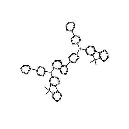 CC1(C)c2ccccc2-c2ccc(N(c3ccc(-c4ccccc4)cc3)c3ccc(-c4cccc5c(N(c6ccc(-c7ccccc7)cc6)c6ccc7c(c6)C(C)(C)c6ccccc6-7)cccc45)cc3)cc21